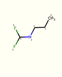 CCC[N]C(F)F